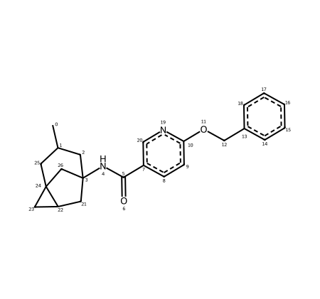 CC1CC2(NC(=O)c3ccc(OCc4ccccc4)nc3)CC3CC3(C1)C2